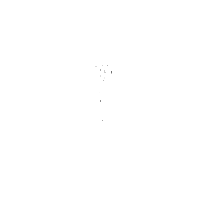 CCOP(=O)(OCC)C(C)(CCC/C=C(\C)CC/C=C(\C)CCC=C(C)C)C(=O)O